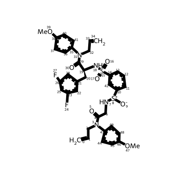 C=CCN(C(=O)CN[S+]([O-])c1cccc(S(=O)(=O)N[C@@H](Cc2cc(F)cc(F)c2)C(=O)N(CC=C)c2ccc(OC)cc2)c1)c1ccc(OC)cc1